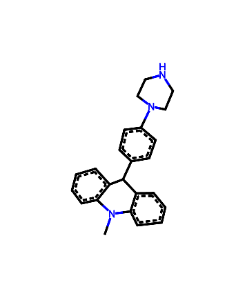 CN1c2ccccc2C(c2ccc(N3CCNCC3)cc2)c2ccccc21